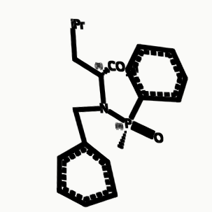 CC(C)C[C@H](C(=O)O)N(Cc1ccccc1)[P@](C)(=O)c1ccccc1